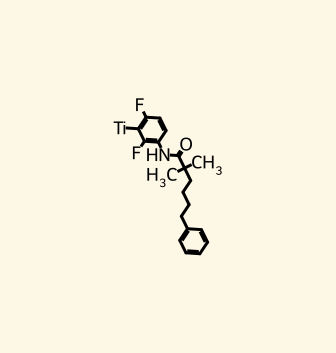 CC(C)(CCCCc1ccccc1)C(=O)Nc1ccc(F)[c]([Ti])c1F